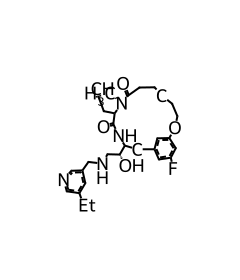 C#CCC1C(=O)NC([C@H](O)CNCc2cncc(CC)c2)Cc2cc(F)cc(c2)OCCCCCC(=O)N1C